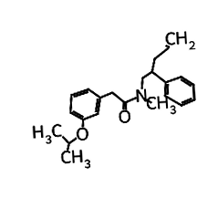 C=CCC(CN(C)C(=O)Cc1cccc(OC(C)C)c1)c1ccccc1